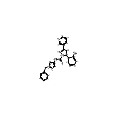 O=C(Nc1cnn(Cc2ccccc2)c1)N1N=C(c2cccnc2)CC1C1CC=CC=C1O